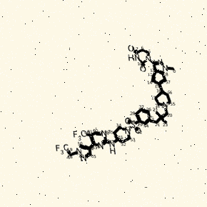 Cn1nc(N2CCC(=O)NC2=O)c2ccc(C3CCN(CC(C)(C)Cc4cccc(S(=O)(=O)N5CCC(Nc6ncc(C(F)(F)F)c(-c7cnn(CC(F)(F)F)c7)n6)CC5)c4)CC3)cc21